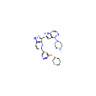 CN1CCN(c2nccc3[nH]c(-c4n[nH]c5ccc(-c6cncc(OC7CCCCC7)c6)nc45)cc23)CC1